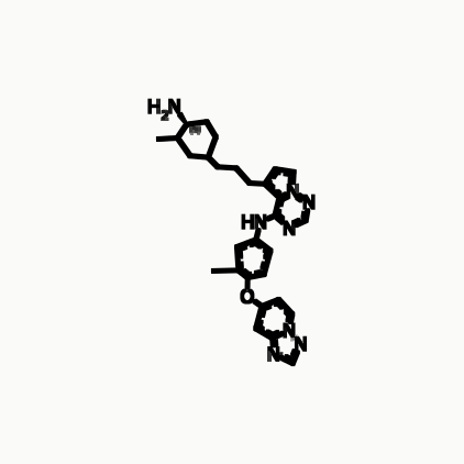 Cc1cc(Nc2ncnn3ccc(CCCC4CC[C@H](N)C(C)C4)c23)ccc1Oc1ccn2ncnc2c1